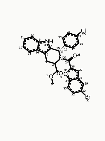 COC(=O)C1Cc2c([nH]c3ccccc23)[C@H](c2ccc(Cl)cc2)N1C(=O)c1cc2cc(Br)ccc2o1